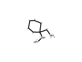 CCCNC1(CN)CCCCC1